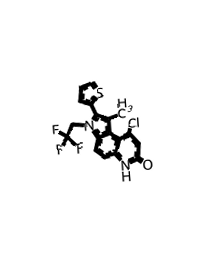 Cc1c(-c2cccs2)n(CC(F)(F)F)c2ccc3[nH]c(=O)cc(Cl)c3c12